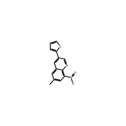 Cc1cc([N+](=O)[O-])c2ncc(-c3cccs3)cc2c1